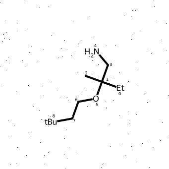 CCC(C)(CN)OCCC(C)(C)C